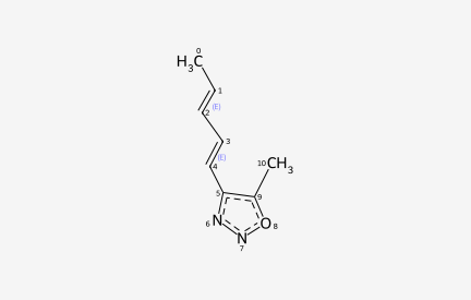 C/C=C/C=C/c1nnoc1C